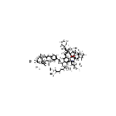 CC(C)=CCCC1(C)C=Cc2c(c(CC=C(C)C)c3c(c2OC(=O)c2ccc(O[C@@H]4O[C@@H]5COC(C)(C)O[C@H]5[C@@H](O)[C@H]4O)cc2)C(=O)C2C(NN4CCCCC4)C4CC5C(C)(C)OC(C/C=C(/C)C(=O)NN6CCCCC6)(C4=O)C25O3)O1